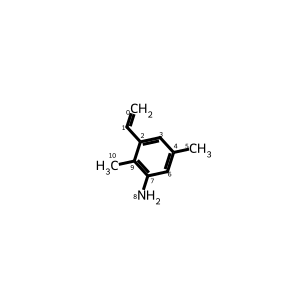 C=Cc1cc(C)cc(N)c1C